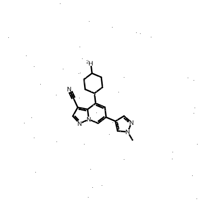 [2H]C1CCC(c2cc(-c3cnn(C)c3)cn3ncc(C#N)c23)CC1